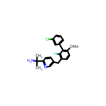 COc1ccc(Cc2ccc(C(C)(C)N)nc2)c(F)c1-c1cccc(Cl)c1